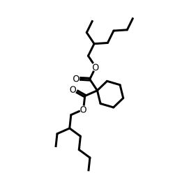 CCCCC(CC)COC(=O)C1(C(=O)OCC(CC)CCCC)CCCCC1